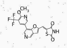 COc1ncc(-c2cncc3cc(/C=C4\SC(=O)NC4=O)oc23)cc1C(F)(F)F